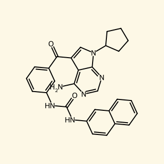 Nc1ncnc2c1c(C(=O)c1cccc(NC(=O)Nc3ccc4ccccc4c3)c1)cn2C1CCCC1